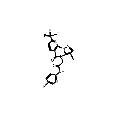 Cc1cnn2c3nc(C(F)(F)F)ccc3c(=O)n(CC(=O)Nc3ccc(F)cn3)c12